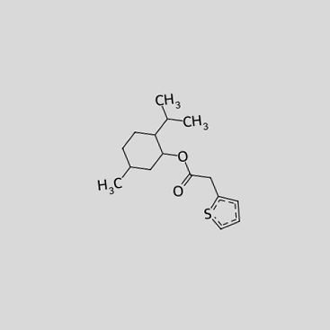 CC1CCC(C(C)C)C(OC(=O)Cc2cccs2)C1